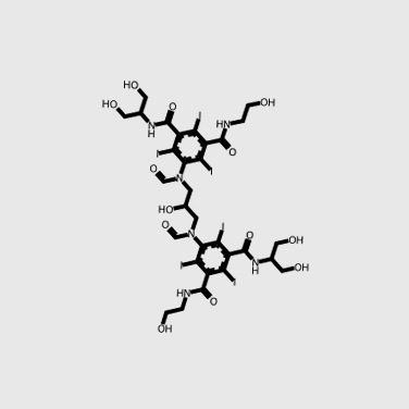 O=CN(CC(O)CN(C=O)c1c(I)c(C(=O)NCCO)c(I)c(C(=O)NC(CO)CO)c1I)c1c(I)c(C(=O)NCCO)c(I)c(C(=O)NC(CO)CO)c1I